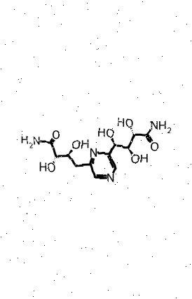 NC(=O)[C@@H](O)[C@@H](O)[C@H](O)c1cncc(C[C@H](O)[C@H](O)C(N)=O)n1